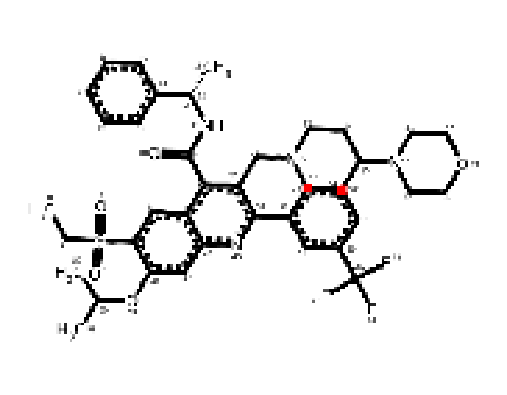 CCS(=O)(=O)c1cc2c(C(=O)N[C@@H](C)c3ccccc3)c(CN3CCC(N4CCOCC4)CC3)c(-c3cccc(C(F)(F)F)c3)nc2cc1OC(C)C